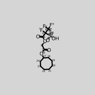 O=C(COC(=O)C(F)(C(F)(F)F)S(=O)(=O)O)OC1CCCCCCC1